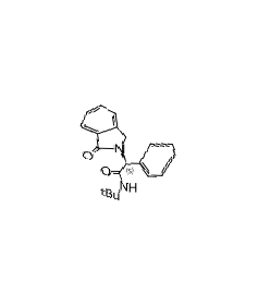 CC(C)(C)NC(=O)[C@H](c1ccccc1)N1Cc2ccccc2C1=O